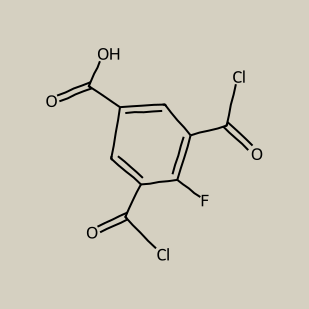 O=C(O)c1cc(C(=O)Cl)c(F)c(C(=O)Cl)c1